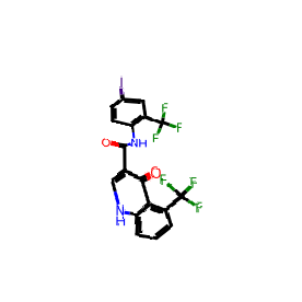 O=C(Nc1ccc(I)cc1C(F)(F)F)c1c[nH]c2cccc(C(F)(F)F)c2c1=O